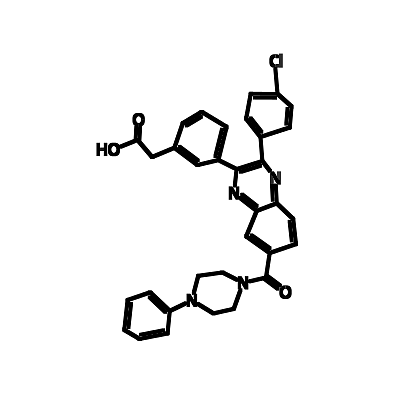 O=C(O)Cc1cccc(-c2nc3cc(C(=O)N4CCN(c5ccccc5)CC4)ccc3nc2-c2ccc(Cl)cc2)c1